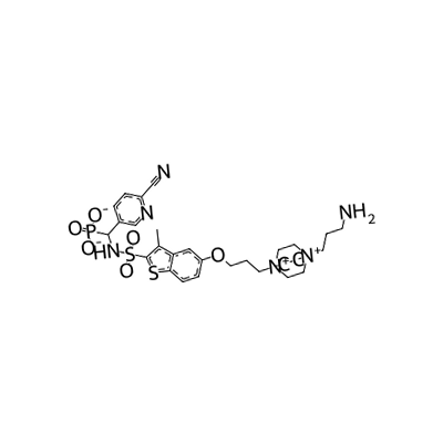 Cc1c(S(=O)(=O)NC(c2ccc(C#N)nc2)P(=O)([O-])[O-])sc2ccc(OCCC[N+]34CC[N+](CCCN)(CC3)CC4)cc12